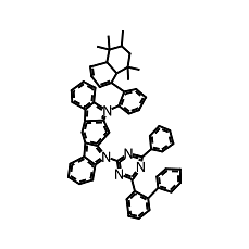 CC1CC(C)(C)C2C(c3ccccc3-n3c4ccccc4c4cc5c6ccccc6n(-c6nc(-c7ccccc7)nc(-c7ccccc7-c7ccccc7)n6)c5cc43)=CC=CC2C1(C)C